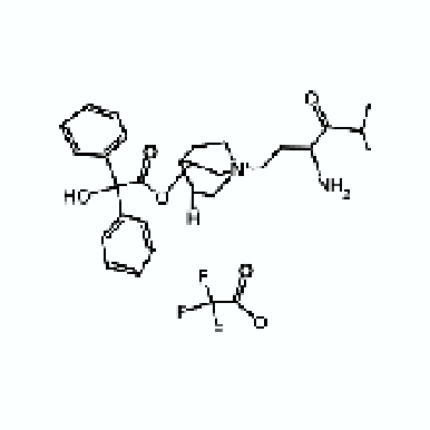 CC(C)C(=O)C(N)CC[N+]12CCC(CC1)[C@@H](OC(=O)C(O)(c1ccccc1)c1ccccc1)C2.O=C([O-])C(F)(F)F